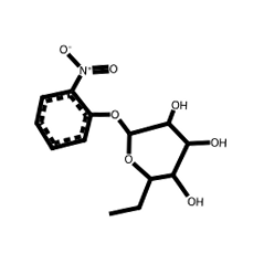 CCC1OC(Oc2ccccc2[N+](=O)[O-])C(O)C(O)C1O